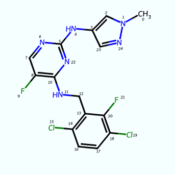 Cn1cc(Nc2ncc(F)c(NCc3c(Cl)ccc(Cl)c3F)n2)cn1